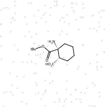 CC(C)(C)OC(=O)[C@@]1(N)CCCC[C@@H]1C(=O)O